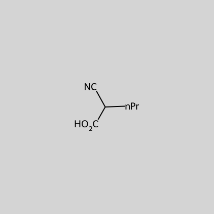 CCCC(C#N)C(=O)O